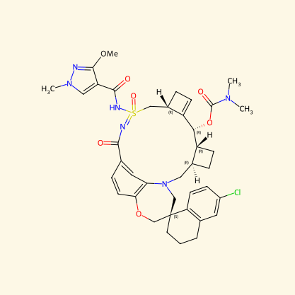 COc1nn(C)cc1C(=O)NS1(=O)=NC(=O)c2ccc3c(c2)N(C[C@@H]2CC[C@H]2[C@@H](OC(=O)N(C)C)C2=CC[C@H]2C1)C[C@@]1(CCCc2cc(Cl)ccc21)CO3